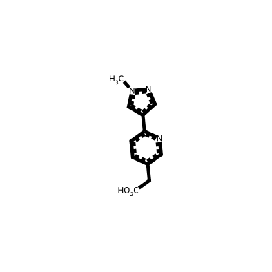 Cn1cc(-c2ccc(CC(=O)O)cn2)cn1